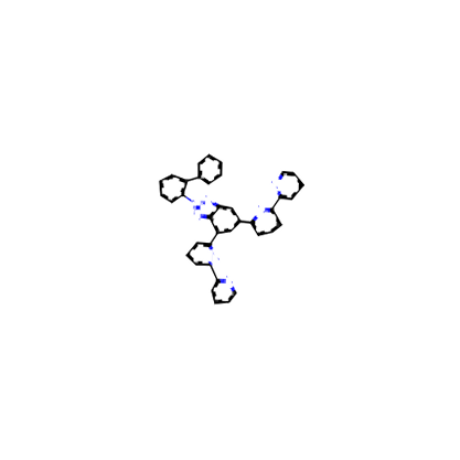 c1ccc(-c2ccccc2-n2nc3cc(-c4cccc(-c5ccccn5)n4)cc(-c4cccc(-c5ccccn5)n4)c3n2)cc1